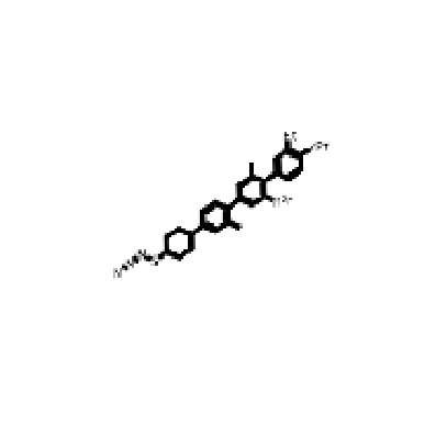 CCCc1ccc(-c2c(C)cc(-c3ccc(C4CCC(SN=[N+]=[N-])CC4)cc3C)cc2CCC)cc1CC